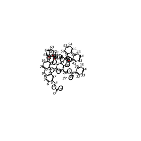 CC(=O)OCc1ccc(Cc2ccc(OC(F)(F)F)cc2)c(O[C@@H]2O[C@H]([C@@H](C)OC(=O)c3ccccc3)[C@@H](OC(=O)c3ccccc3)[C@H](OC(=O)c3ccccc3)[C@H]2OC(=O)c2ccccc2)c1